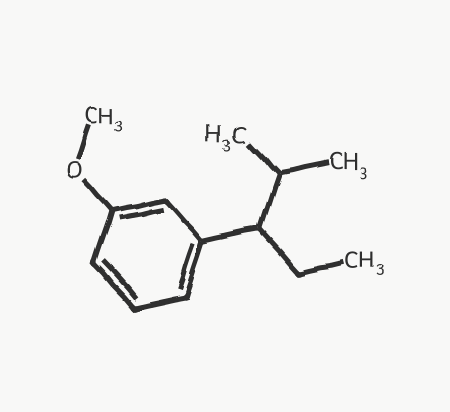 CCC(c1cccc(OC)c1)C(C)C